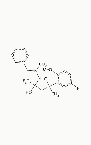 COc1ccc(F)cc1C(C)(C)CC(O)(CN(Cc1ccccc1)C(=O)O)C(F)(F)F